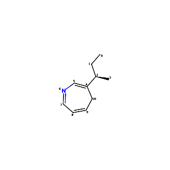 CC[C@@H](C)C1=CN=CC=CC1